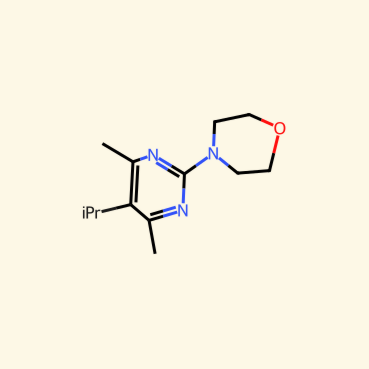 Cc1nc(N2CCOCC2)nc(C)c1C(C)C